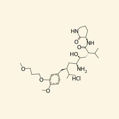 COCCCOc1cc(C[C@@H](C[C@H](N)[C@@H](O)C[C@H](C(=O)N[C@@H]2CCCNC2=O)C(C)C)C(C)C)ccc1OC.Cl